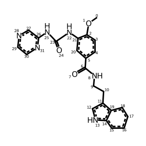 COc1ccc(C(=O)NCCc2c[nH]c3ccccc23)cc1NC(=O)Nc1cnccn1